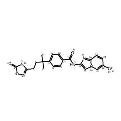 CC(C)(CCc1noc(=O)[nH]1)c1ccc(C(=O)Nc2cn3cc(C(F)(F)F)ccc3n2)cc1